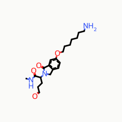 CNC(=O)C(CCC=O)N1Cc2ccc(OCCCCCCCN)cc2C1=O